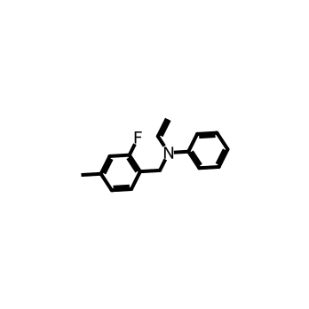 C=CN(Cc1ccc(C)cc1F)c1ccccc1